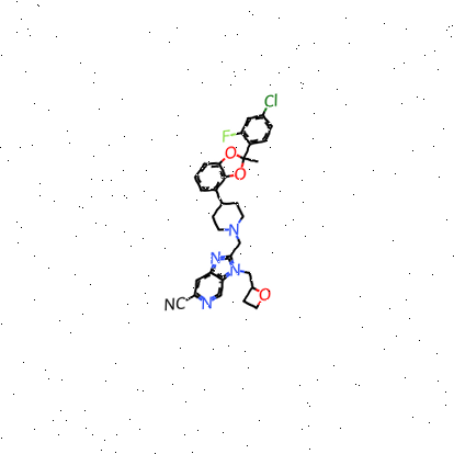 CC1(c2ccc(Cl)cc2F)Oc2cccc(C3CCN(Cc4nc5cc(C#N)ncc5n4CC4CCO4)CC3)c2O1